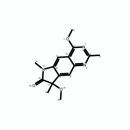 COc1nc(C)nc2cc3c(cc12)N(C)C(=O)C3(C)OC